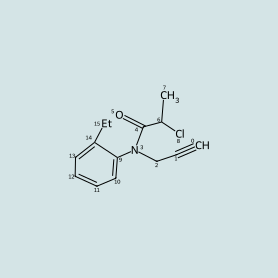 C#CCN(C(=O)C(C)Cl)c1ccccc1CC